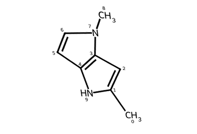 Cc1cc2c(ccn2C)[nH]1